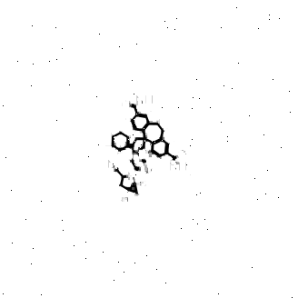 C[C@@H](CC1(c2nc(=O)on2C2CCCCC2)c2ccc(C(N)=O)cc2CCc2cc(C(N)=O)ccc21)NCC(=O)N1C(C#N)C[C@@H]2C[C@@H]21